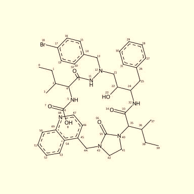 CCC(C)C(NC(=O)O)C(=O)NN(Cc1ccc(Br)cc1)CC(O)C(Cc1ccccc1)NC(=O)C(C(C)CC)N1CCN(Cc2ccnc3ccccc23)C1=O